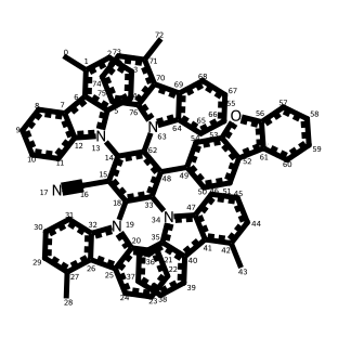 Cc1cccc2c1c1ccccc1n2-c1c(C#N)c(-n2c3ccccc3c3c(C)cccc32)c(-n2c3ccccc3c3c(C)cccc32)c(-c2ccc3c(c2)oc2ccccc23)c1-n1c2ccccc2c2c(C)cccc21